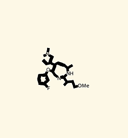 C=CC(=C\N(C)C)/C1=C(\Oc2cccc(F)c2)C/N=C(/C(C)CCOC)NC(C)/C=C\1